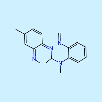 C=Nc1ccccc1N(C)C(C)/N=C1/C=CC(C)=C/C1=N/C